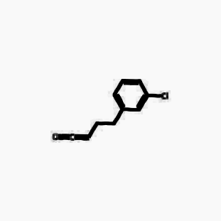 O=C=CCCc1cccc(Cl)c1